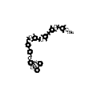 Cc1cc(C(C)(C)Oc2c(C)cc(C(C)(C)c3cc(C)c(OC(C)(C)c4cc(C)c(OC(C)(C)Cc5ccc(-c6ccc(COc7ccc(O)c(P8(=O)Oc9ccccc9-c9ccccc98)c7)cc6)cc5)c(C)c4)c(C)c3)cc2C)cc(C)c1OC(C)(C)C